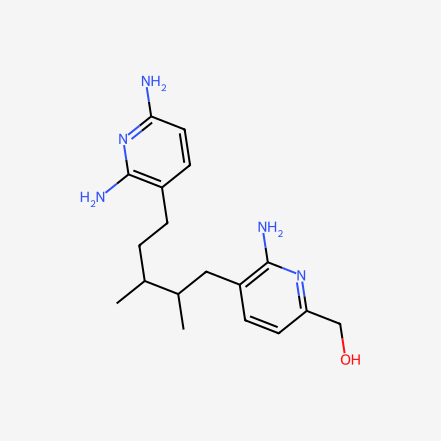 CC(CCc1ccc(N)nc1N)C(C)Cc1ccc(CO)nc1N